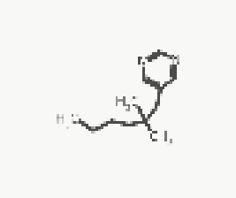 CCCCC(C)(C)Cc1cncnc1